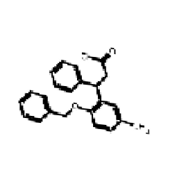 Cc1ccc(OCc2ccccc2)c(C(CC(=O)Cl)c2ccccc2)c1